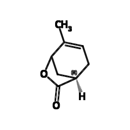 CC1=CC[C@@H]2CC1OC2=O